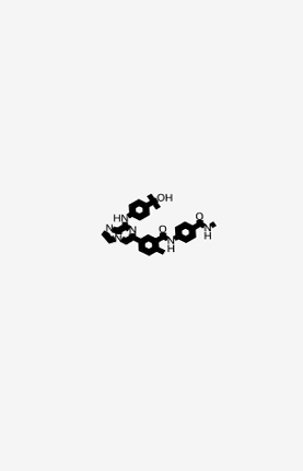 CNC(=O)c1ccc(NC(=O)c2cc(-c3cn4ccnc4c(Nc4ccc(C(C)(C)O)cc4)n3)ccc2C)cc1